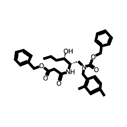 CCC[C@H](O)[C@H](CN(Cc1ccc(C)cc1C)C(=O)OCc1ccccc1)NC(=O)CC(=O)OCc1ccccc1